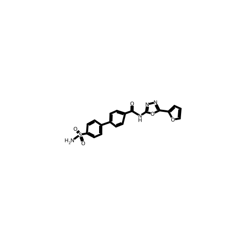 NS(=O)(=O)c1ccc(-c2ccc(C(=O)Nc3nnc(-c4ccco4)o3)cc2)cc1